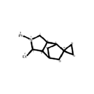 CCC1C2C3CC(C2CN1C(C)C)C1(CC1)C3